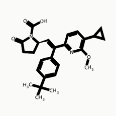 COc1nc(C(=C[C@H]2CCC(=O)N2C(=O)O)c2ccc(C(C)(C)C)cc2)ccc1C1CC1